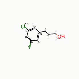 OCCCc1cc(F)cc(Cl)c1